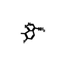 Cc1c(F)ccc2c(N)cnnc12